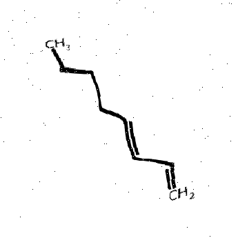 C=C/C=C/CCCC